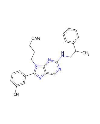 COCCCn1c(-c2cccc(C#N)c2)nc2cnc(NCC(C)c3ccccc3)nc21